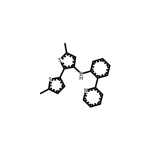 Cc1ccc(-c2sc(C)cc2Bc2ccccc2-c2ccccn2)s1